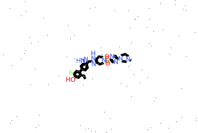 CCc1cc(O)c(F)cc1-c1ccc2c(-c3nc4c([nH]3)CCN(S(=O)(=O)c3cnc(N5CCCN(C)CC5)cn3)CC4)n[nH]c2c1